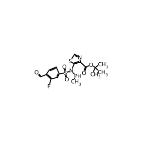 CPN(c1scnc1C(=O)OC(C)(C)C)S(=O)(=O)c1ccc(C=O)c(F)c1